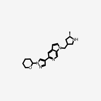 C[C@@H]1CC(Cn2ccc3cc(-c4cnn(C5CCCCO5)c4)ncc32)CN1